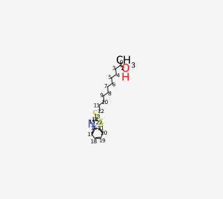 CC(O)CCCCCCCCCCSc1nc2ccccc2s1